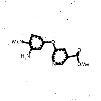 CNc1ccc(Oc2cncc(C(=O)OC)c2)cc1N